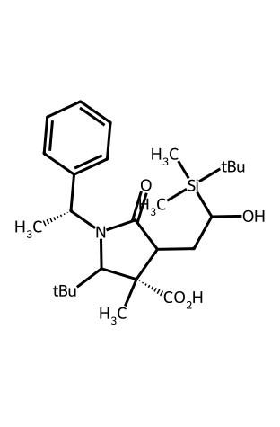 C[C@H](c1ccccc1)N1C(=O)C(CC(O)[Si](C)(C)C(C)(C)C)[C@](C)(C(=O)O)C1C(C)(C)C